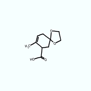 CC1=CCC2(CC1C(=O)O)OCCO2